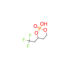 O=P1(O)OCCC(CC(F)(F)F)O1